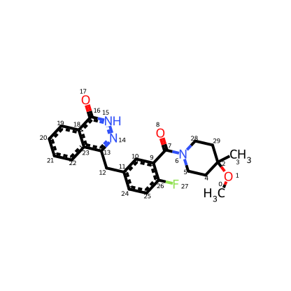 COC1(C)CCN(C(=O)c2cc(Cc3n[nH]c(=O)c4ccccc34)ccc2F)CC1